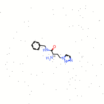 N[C@@H](CCn1ccnn1)C(=O)NCc1ccccc1